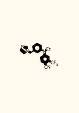 CCN(c1ccc(C#N)c(C(F)(F)F)c1)[C@@H]1CCC[C@H](Cn2ccnc2)C1